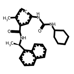 Cc1ccc(NC(=O)NC2CCCCC2)cc1C(=O)N[C@H](C)c1cccc2ccccc12